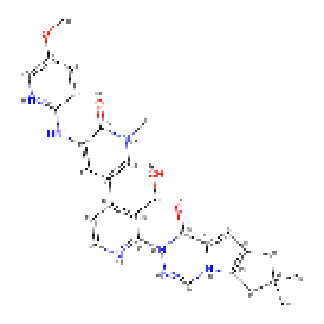 COc1ccc(Nc2cc(-c3ccnc(-n4ncn5c6c(cc5c4=O)CC(C)(C)C6)c3CO)cn(C)c2=O)nc1